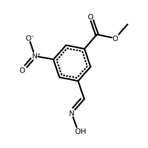 COC(=O)c1cc(C=NO)cc([N+](=O)[O-])c1